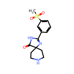 CS(=O)(=O)c1cccc(C2=NC3(CCNCC3)C(=O)N2)c1